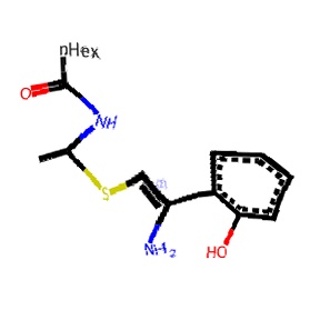 CCCCCCC(=O)NC(C)S/C=C(\N)c1ccccc1O